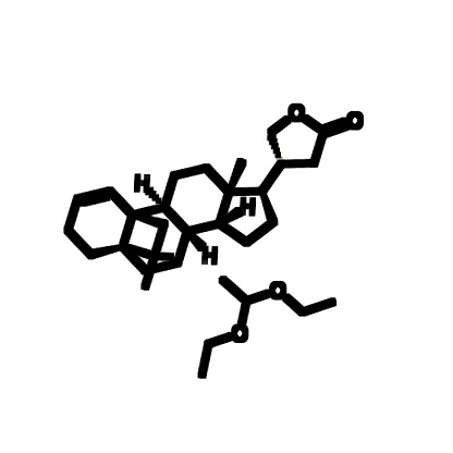 CC1(C)C[C@]23C=CCC[C@]12CC[C@H]1[C@H]2CC[C@H]([C@@H]4COC(=O)C4)[C@@]2(C)CC[C@@H]13.CCOC(C)OCC